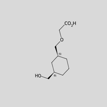 O=C(O)COC[C@H]1CCC[C@@H](CO)C1